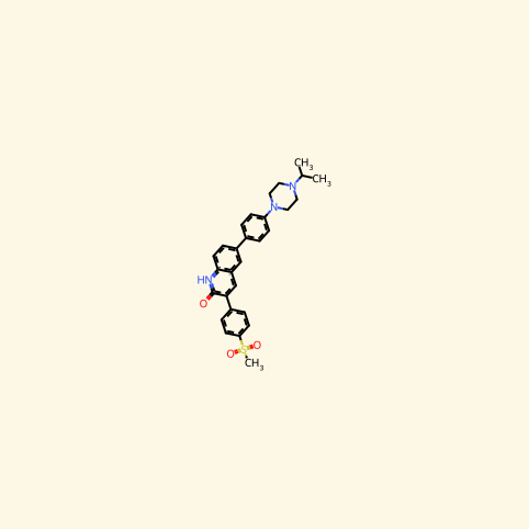 CC(C)N1CCN(c2ccc(-c3ccc4[nH]c(=O)c(-c5ccc(S(C)(=O)=O)cc5)cc4c3)cc2)CC1